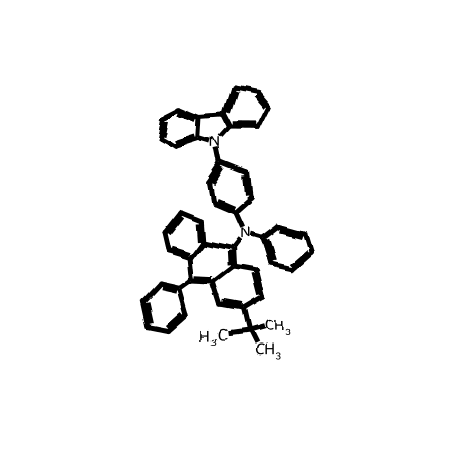 CC(C)(C)c1ccc2c(N(c3ccccc3)c3ccc(-n4c5ccccc5c5ccccc54)cc3)c3ccccc3c(-c3ccccc3)c2c1